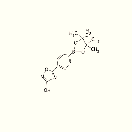 CC1(C)OB(c2ccc(-c3nc(O)no3)cc2)OC1(C)C